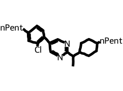 CCCCCc1ccc(-c2cnc(C(C)C3CCC(CCCCC)CC3)nc2)c(Cl)c1